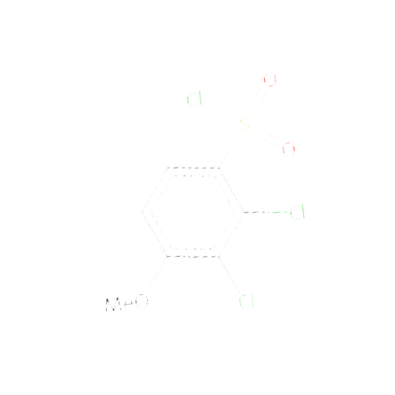 COc1ccc(S(=O)(=O)Cl)c(Cl)c1Cl